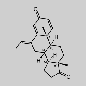 CC=C1C[C@@H]2[C@H](CC[C@]3(C)C(=O)CC[C@@H]23)[C@@]2(C)C=CC(=O)C=C12